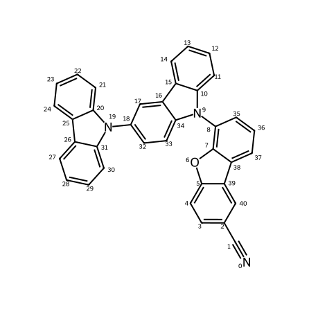 N#Cc1ccc2oc3c(-n4c5ccccc5c5cc(-n6c7ccccc7c7ccccc76)ccc54)cccc3c2c1